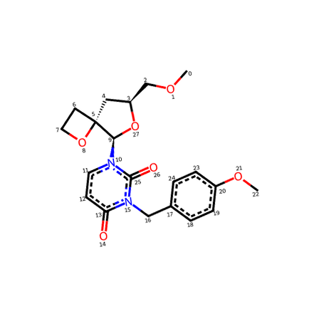 COC[C@@H]1C[C@]2(CCO2)[C@H](n2ccc(=O)n(Cc3ccc(OC)cc3)c2=O)O1